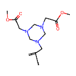 C=C(C)CN1CN(CC(=O)OC)CN(CC(=O)OC)C1